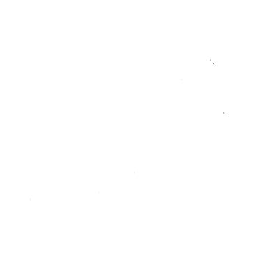 CCOC(=O)CC1OB(O)c2cc(Oc3cnccn3)cc(F)c21